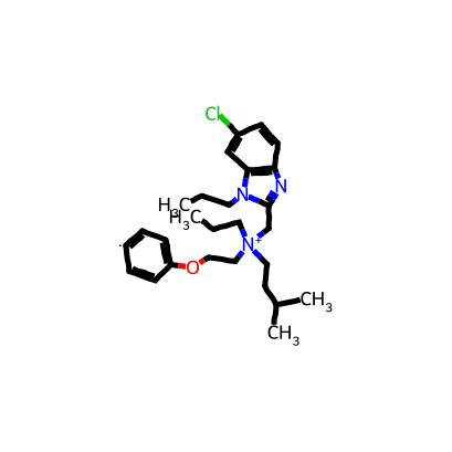 CCCn1c(C[N+](CCC)(CCOc2cc[c]cc2)CCC(C)C)nc2ccc(Cl)cc21